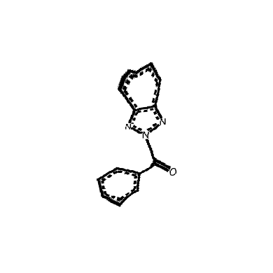 O=C(c1ccccc1)n1nc2ccccc2n1